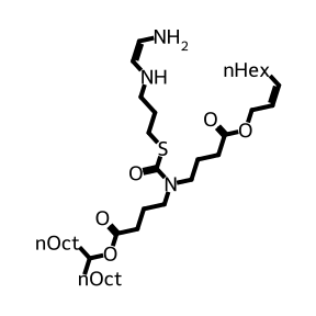 CCCCCC/C=C\COC(=O)CCCN(CCCC(=O)OC(CCCCCCCC)CCCCCCCC)C(=O)SCCCN/C=C\N